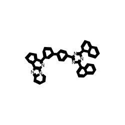 C1=CC2=CC=CC(c3nc(-c4ccc(-c5cccc(-c6nc7c(nc8ccccn87)c7ccccc67)c5)cc4)nc(-c4cccc5ccccc45)n3)C2C=C1